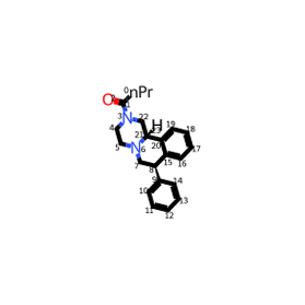 CCCC(=O)N1CCN2C[C@H](c3ccccc3)c3ccccc3[C@H]2C1